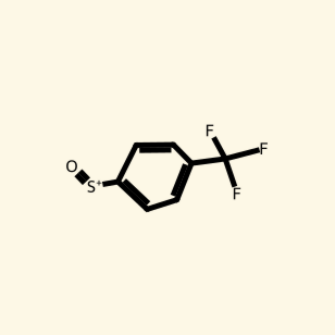 O=[S+]c1ccc(C(F)(F)F)cc1